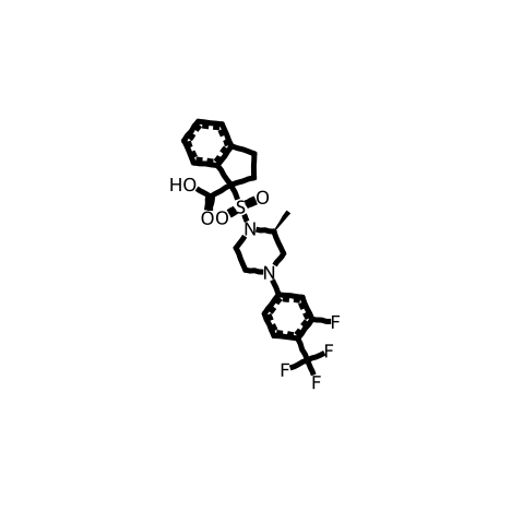 C[C@H]1CN(c2ccc(C(F)(F)F)c(F)c2)CCN1S(=O)(=O)C1(C(=O)O)CCc2ccccc21